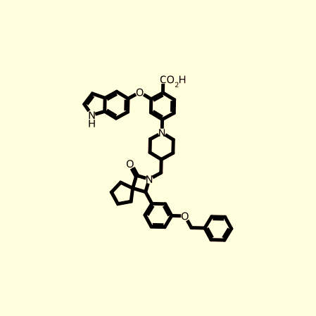 O=C(O)c1ccc(N2CCC(CN3C(=O)C4(CCCC4)C3c3cccc(OCc4ccccc4)c3)CC2)cc1Oc1ccc2[nH]ccc2c1